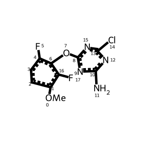 COc1ccc(F)c(Oc2nc(N)nc(Cl)n2)c1F